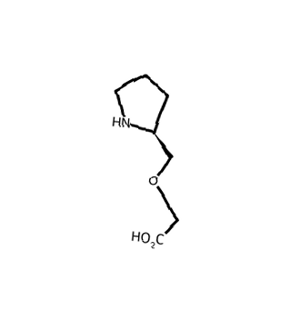 O=C(O)COC[C@@H]1CCCN1